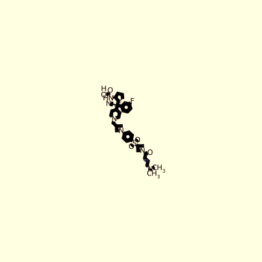 CN(C)C/C=C/C(=O)N1CC(S(=O)(=O)c2ccc(N3CC(CN4CCC([C@@](C#N)(c5cccc(F)c5)[C@H]5CCC[C@@H]5NC(=O)O)CC4)C3)cc2)C1